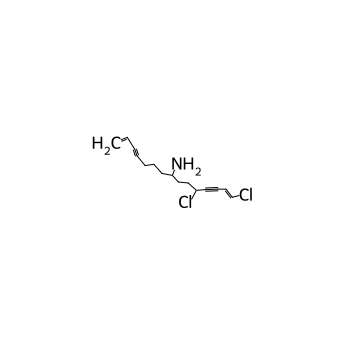 C=CC#CCCCC(N)CCC(Cl)C#CC=CCl